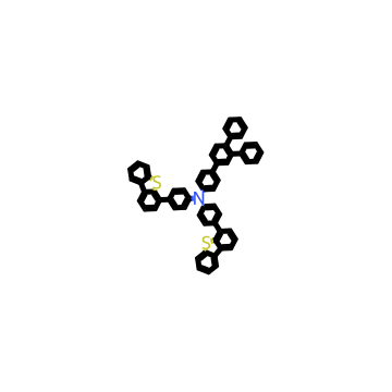 c1ccc(-c2ccc(-c3ccc(N(c4ccc(-c5cccc6c5sc5ccccc56)cc4)c4ccc(-c5cccc6c5sc5ccccc56)cc4)cc3)cc2-c2ccccc2)cc1